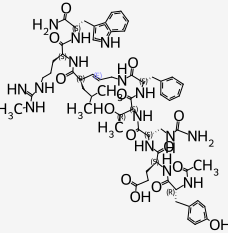 CNC(=N)NCCC[C@H](NC(=O)[C@@H](/C=C/CNC(=O)[C@H](Cc1ccccc1)NC(=O)[C@@H](NC(=O)[C@H](CNC(N)=O)NC(=O)[C@H](CCC(=O)O)NC(=O)[C@@H](Cc1ccc(O)cc1)NC(C)=O)[C@@H](C)O)CC(C)C)C(=O)N[C@@H](Cc1c[nH]c2ccccc12)C(N)=O